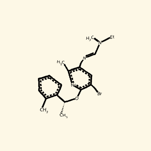 CCN(C)/C=N/c1cc(Br)c(O[C@H](C)c2ccccc2C)nc1C